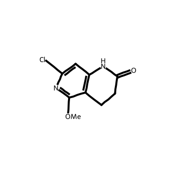 COc1nc(Cl)cc2c1CCC(=O)N2